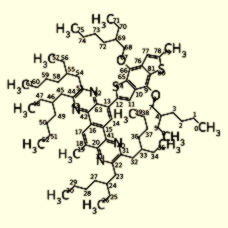 CCCCC(CC)COc1c2cc(-c3cc4c(cc(C)c5nc(CC(CC)CCCC)c(CC(CC)CCCC)nc54)c4nc(CC(CC)CCCC)c(CC(CC)CCCC)nc34)sc2c(OCC(CC)CCCC)c2cc(C)sc12